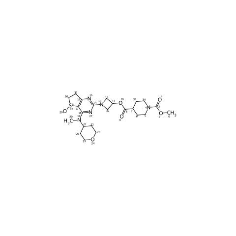 COC(=O)N1CCC(C(=O)OC2CN(c3nc4c(c(N(C)C5CCOCC5)n3)[S+]([O-])CC4)C2)CC1